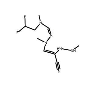 CNN/C(C#N)=C\N(C)/N=C\N(C)CC(F)F